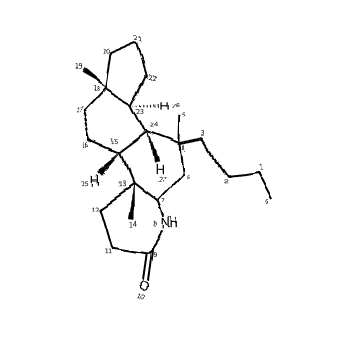 CCCCC1(C)CC2NC(=O)CC[C@]2(C)[C@@H]2CC[C@]3(C)CCC[C@H]3[C@@H]21